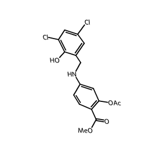 COC(=O)c1ccc(NCc2cc(Cl)cc(Cl)c2O)cc1OC(C)=O